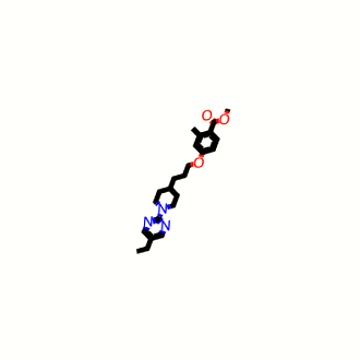 CCc1cnc(N2CCC(CCCOc3ccc(C(=O)OC)c(C)c3)CC2)nc1